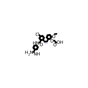 CCOc1cccc(/C=C\c2ccc(Cl)cc2C(=O)Nc2ccc(C(=N)N)cc2)c1OCC(=O)O